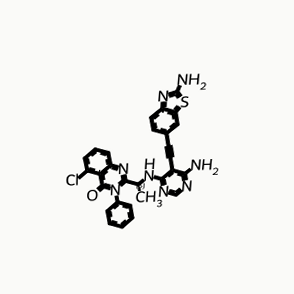 C[C@H](Nc1ncnc(N)c1C#Cc1ccc2nc(N)sc2c1)c1nc2cccc(Cl)c2c(=O)n1-c1ccccc1